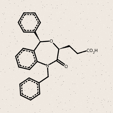 O=C(O)CC[C@@H]1O[C@H](c2ccccc2)c2ccccc2N(Cc2ccccc2)C1=O